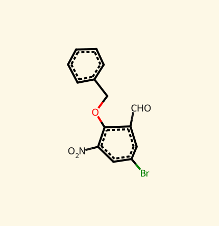 O=Cc1cc(Br)cc([N+](=O)[O-])c1OCc1ccccc1